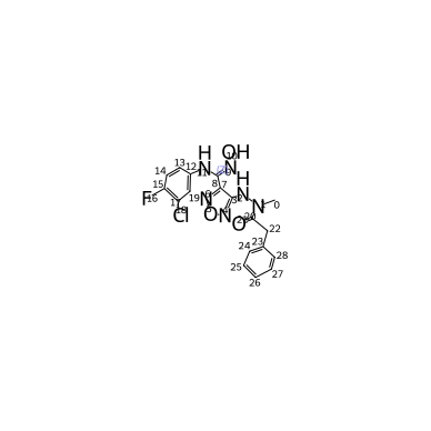 CN(Nc1nonc1/C(=N/O)Nc1ccc(F)c(Cl)c1)C(=O)Cc1ccccc1